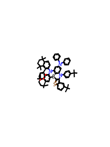 CC(C)(C)c1ccc(N2c3cc(N(c4ccccc4)c4ccccc4)cc4c3B(c3cc5c(cc3N4c3ccc4c(c3-c3ccccc3)C(C)(C)CCC4(C)C)C(C)(C)CCC5(C)C)c3sc4ccc(C(C)(C)C)cc4c32)cc1